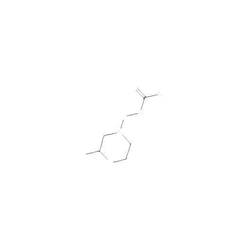 CCC1CN(SNC(N)=O)CCO1